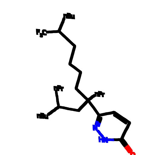 CCCCC(CCC)CC(CCC)(CCCCC(CCCC)C(F)(F)F)c1ccc(=O)[nH]n1